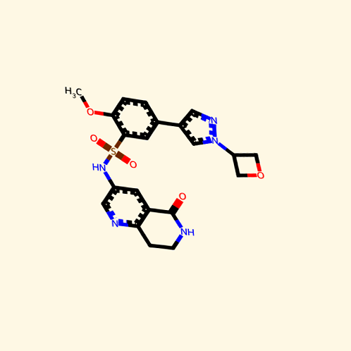 COc1ccc(-c2cnn(C3COC3)c2)cc1S(=O)(=O)Nc1cnc2c(c1)C(=O)NCC2